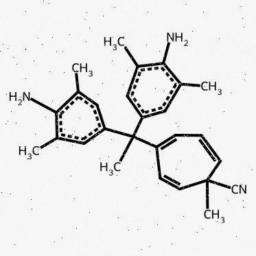 Cc1cc(C(C)(C2=CC=CC(C)(C#N)C=C2)c2cc(C)c(N)c(C)c2)cc(C)c1N